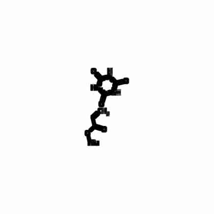 C=CC(=O)OCCCC.O=c1[nH]c(=O)[nH]c(=O)[nH]1